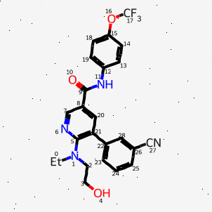 CCN(CCO)c1ncc(C(=O)Nc2ccc(OC(F)(F)F)cc2)cc1-c1cccc(C#N)c1